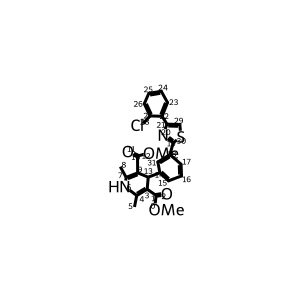 COC(=O)C1=C(C)NC(C)=C(C(=O)OC)C1c1cccc(-c2nc(-c3ccccc3Cl)cs2)c1